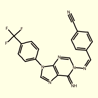 N#Cc1ccc(/C=N\n2cnc3c(ncn3-c3ccc(C(F)(F)F)cc3)c2=N)cc1